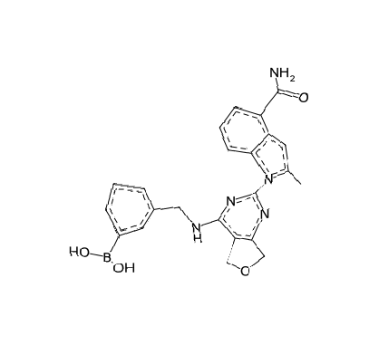 Cc1cc2c(C(N)=O)cccc2n1-c1nc2c(c(NCc3cccc(B(O)O)c3)n1)COC2